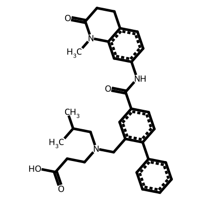 CC(C)CN(CCC(=O)O)Cc1cc(C(=O)Nc2ccc3c(c2)N(C)C(=O)CC3)ccc1-c1ccccc1